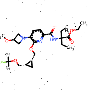 [2H]C([2H])(F)OC[C@H]1C[C@@H]1COc1nc(C(=O)NC(CC)(CC)C(=O)OCC)ccc1N1CC(OC)C1